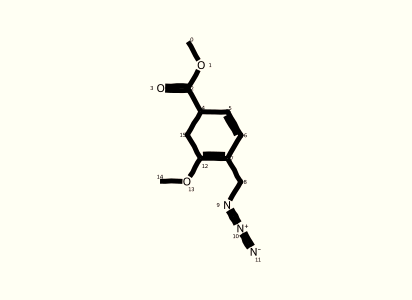 COC(=O)C1C=CC(CN=[N+]=[N-])=C(OC)C1